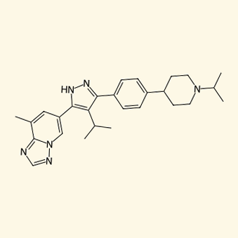 Cc1cc(-c2[nH]nc(-c3ccc(C4CCN(C(C)C)CC4)cc3)c2C(C)C)cn2ncnc12